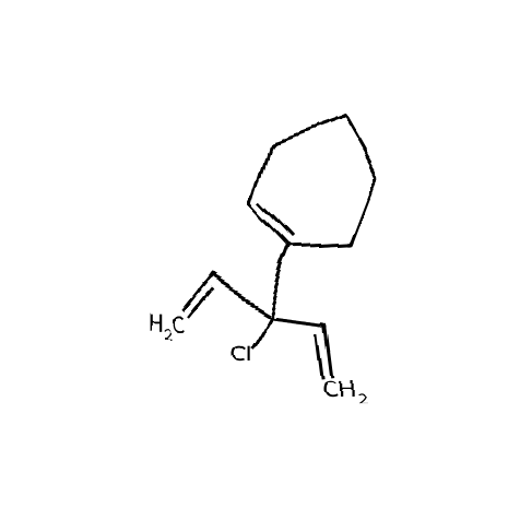 C=CC(Cl)(C=C)C1=CCCCC1